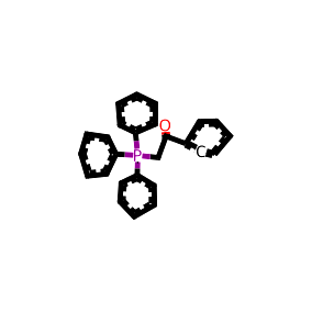 O=C(C[P](c1ccccc1)(c1ccccc1)c1ccccc1)c1ccccc1